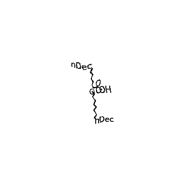 CCCCCCCCCCCCCCCCCCOC(CCCCCCCCCCCCCCCC)C(=O)OO